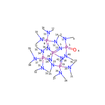 CN(C)P(=O)(N=P(N=P(N(C)C)(N(C)C)N(C)C)(N=P(N(C)C)(N(C)C)N(C)C)N=P(N(C)C)(N(C)C)N(C)C)N(C)C